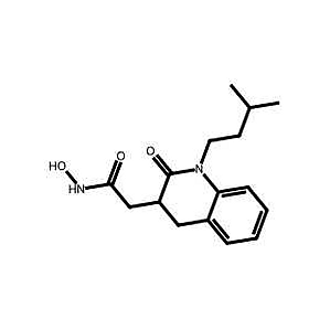 CC(C)CCN1C(=O)C(CC(=O)NO)Cc2ccccc21